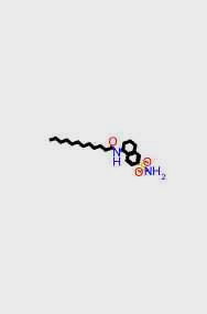 CCCCCCCCCCCC(=O)NC1CCCc2cc(S(N)(=O)=O)ccc21